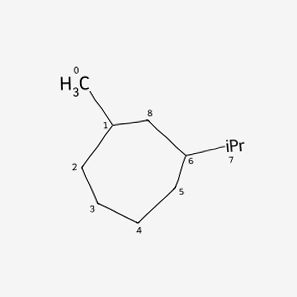 CC1CCCCC(C(C)C)C1